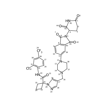 O=C1CCC(N2C(=O)c3ccc(N4CCN(Cc5cnn(C6(C(=O)Nc7ccc(C(F)(F)F)cc7Cl)CCC6)c5)CC4)cc3C2=O)C(=O)N1